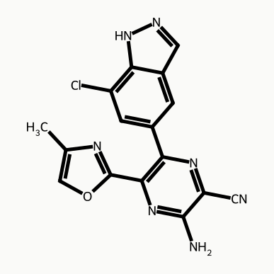 Cc1coc(-c2nc(N)c(C#N)nc2-c2cc(Cl)c3[nH]ncc3c2)n1